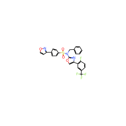 O=S(=O)(c1ccc(-c2ccon2)cc1)N(Cc1ccccc1)c1nc(-c2cc(C(F)(F)F)ccc2F)co1